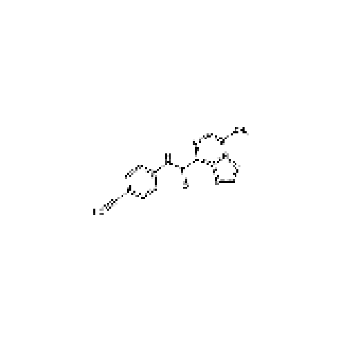 C#Cc1ccc(NC(=O)c2ncc(C)n3ccnc23)cc1